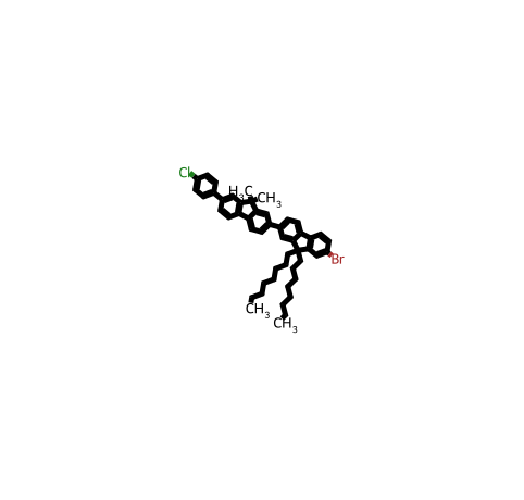 CCCCCCCCC1(CCCCCCCC)c2cc(Br)ccc2-c2ccc(-c3ccc4c(c3)C(C)(C)c3cc(-c5ccc(Cl)cc5)ccc3-4)cc21